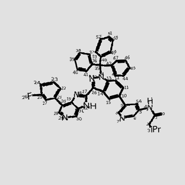 C=C(CC(C)C)Nc1cncc(-c2ccc3c(c2)c(-c2nc4c(-c5cccc(F)c5)cncc4[nH]2)nn3C(c2ccccc2)(c2ccccc2)c2ccccc2)c1